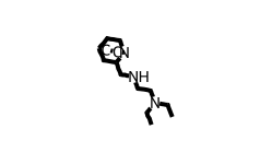 CCN(CC)CCNCC1CC2CCN1CC2